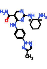 Cc1cnn(-c2ccc(Nc3nc(N[C@@H]4CCCC[C@@H]4N)ncc3C(N)=O)cc2)n1